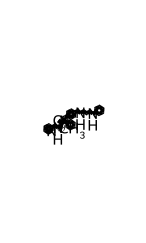 C[C@H](NCc1ccccn1)C(=O)N(Cc1ccc(CNCCCNC2CCCCC2)cc1)C1CCCCC1